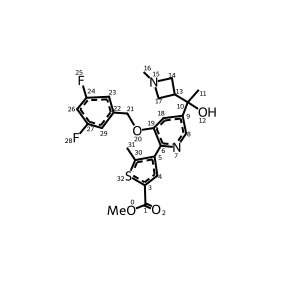 COC(=O)c1cc(-c2ncc(C(C)(O)C3CN(C)C3)cc2OCc2cc(F)cc(F)c2)c(C)s1